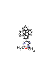 C=C1/C=C\C(c2ccc3c(c2)-c2ccccc2C32c3ccccc3-c3ccccc32)/C=C\C=C(/C)O1